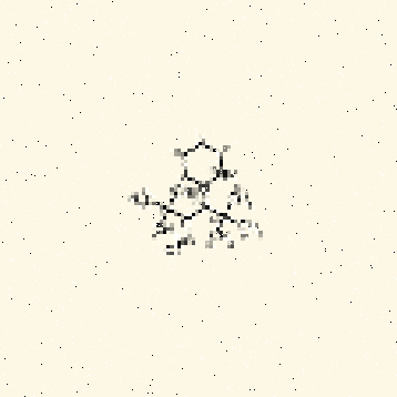 CC(C)(C)C(C=O)C(N1CCCCN1)C(C)(C)C